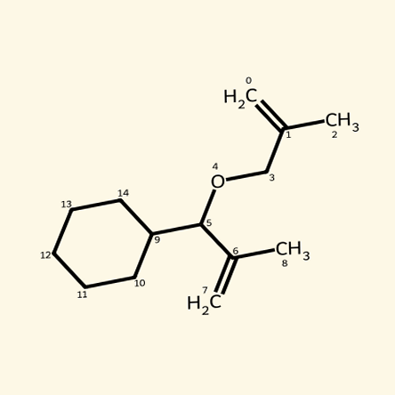 C=C(C)COC(C(=C)C)C1CCCCC1